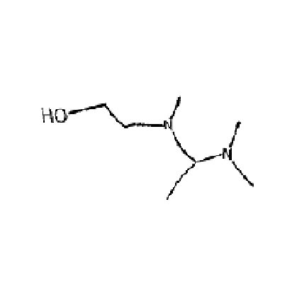 CC(N(C)C)N(C)CCO